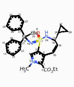 CCOC(=O)c1c2c(cn1C)S(=O)(=N[Si](c1ccccc1)(c1ccccc1)C(C)(C)C)N[C@@H](C1CC1)C=C2